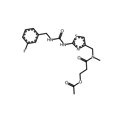 CC(=O)OCCC(=O)N(C)Cc1csc(NC(=O)NCc2cccc(F)c2)n1